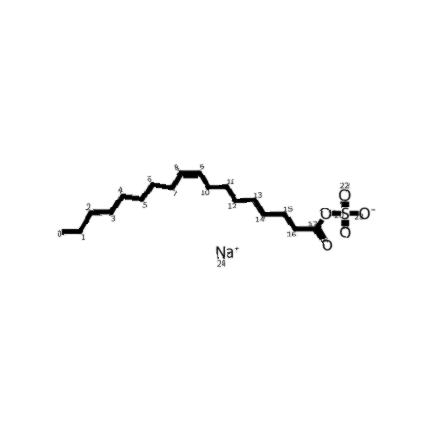 CCCCCCCC/C=C\CCCCCCCC(=O)OS(=O)(=O)[O-].[Na+]